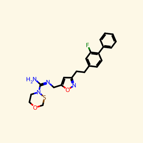 NC(=NCc1cc(CCc2ccc(-c3ccccc3)c(F)c2)no1)N1CCOCS1